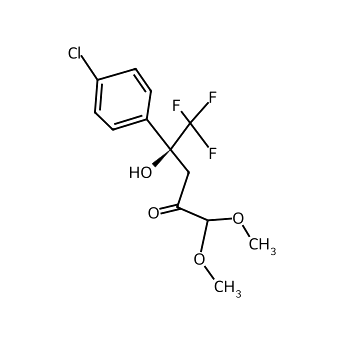 COC(OC)C(=O)C[C@](O)(c1ccc(Cl)cc1)C(F)(F)F